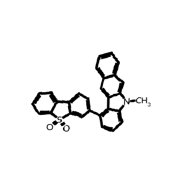 Cn1c2cc3ccccc3cc2c2c(-c3ccc4c(c3)S(=O)(=O)c3ccccc3-4)cccc21